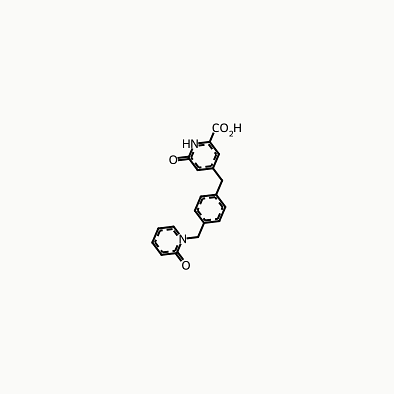 O=C(O)c1cc(Cc2ccc(Cn3ccccc3=O)cc2)cc(=O)[nH]1